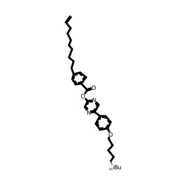 C=CCCCCCCCCc1ccc(C(=O)Oc2cnc(-c3ccc(OCCCCC[C@@H](C)CC)cc3)cn2)cc1